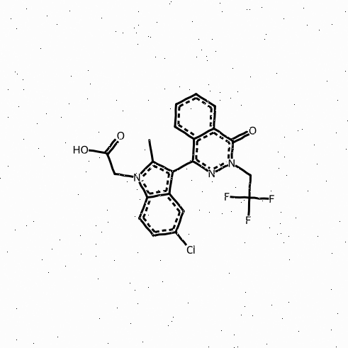 Cc1c(-c2nn(CC(F)(F)F)c(=O)c3ccccc23)c2cc(Cl)ccc2n1CC(=O)O